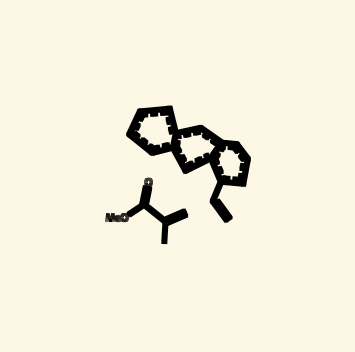 C=C(C)C(=O)OC.C=Cc1cccc2cc3ccccc3cc12